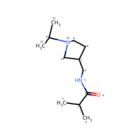 CC(C)C(=O)NCC1CCN(C(C)C)C1